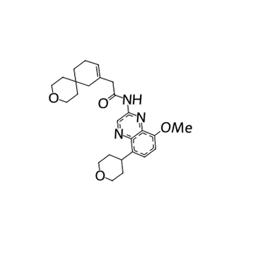 COc1ccc(C2CCOCC2)c2ncc(NC(=O)CC3=CCCC4(CCOCC4)C3)nc12